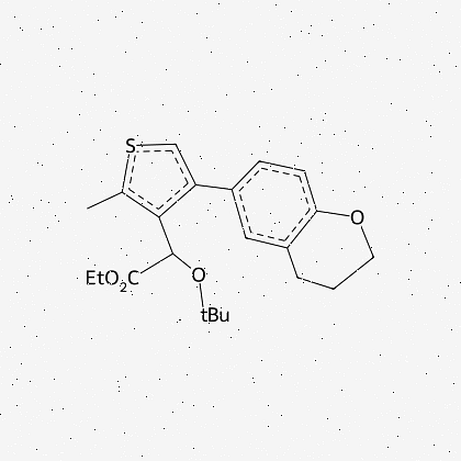 CCOC(=O)C(OC(C)(C)C)c1c(-c2ccc3c(c2)CCCO3)csc1C